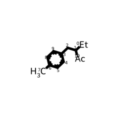 CCC(Cc1ccc(C)cc1)C(C)=O